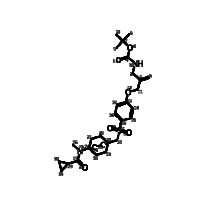 C=C(CNC(=O)OC(C)(C)C)COc1ccc(S(=O)(=O)CC23CCC(N(C)C(=O)C4CC4)(CC2)CC3)cc1